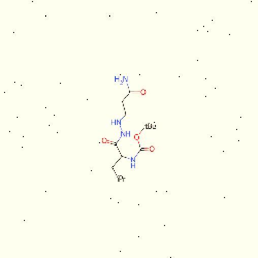 CC(C)CC(NC(=O)OC(C)(C)C)C(=O)NNCCC(N)=O